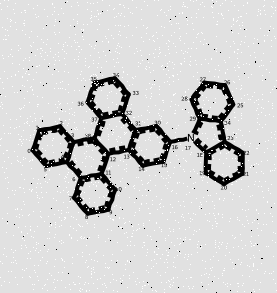 c1ccc2c(c1)c1ccccc1c1c3ccc(-n4c5ccccc5c5ccccc54)cc3c3ccccc3c21